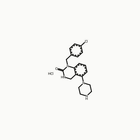 Cl.O=C1NCc2c(N3CCNCC3)cccc2N1Cc1ccc(Cl)cc1